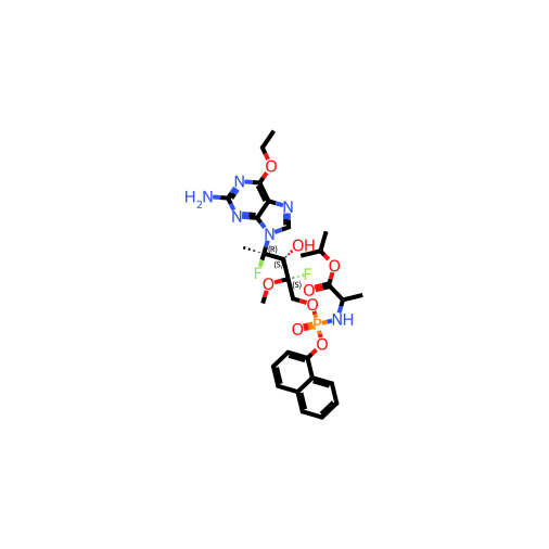 CCOc1nc(N)nc2c1ncn2[C@](C)(F)[C@H](O)[C@@](F)(COP(=O)(NC(C)C(=O)OC(C)C)Oc1cccc2ccccc12)OC